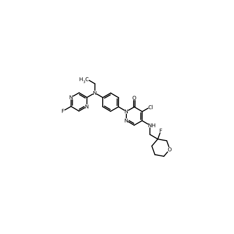 CCN(c1ccc(-n2ncc(NCC3(F)CCCOC3)c(Cl)c2=O)cc1)c1cnc(F)cn1